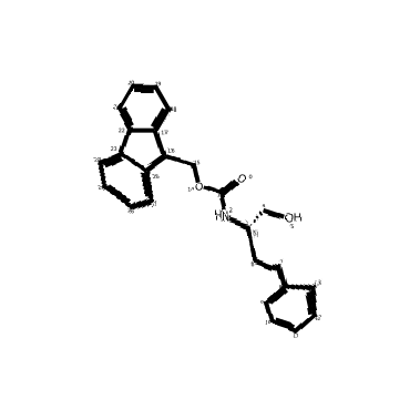 O=C(N[C@H](CO)CCc1ccccc1)OCC1c2ccccc2-c2ccccc21